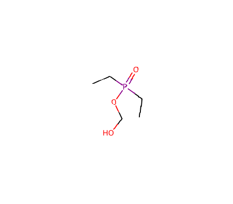 CCP(=O)(CC)OCO